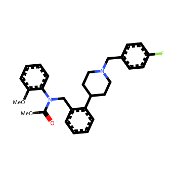 COC(=O)N(Cc1ccccc1C1CCN(Cc2ccc(F)cc2)CC1)c1ccccc1OC